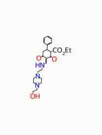 CCOC(=O)C1C(=O)C(=CNCCN2CCN(CCO)CC2)C(=O)CC1c1ccccc1